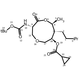 CC(C)CC[C@H]1[C@H](C)OC(=O)[C@@H](NC(=O)OC(C)(C)C)COC[C@@H]1OC(=O)C1CC1